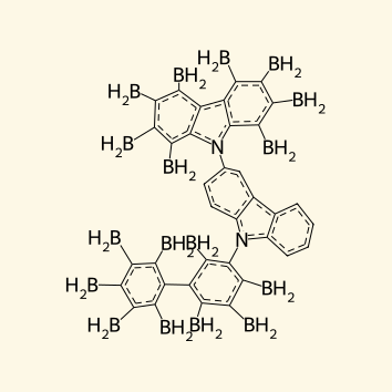 Bc1c(B)c(B)c(-c2c(B)c(B)c(B)c(-n3c4ccccc4c4cc(-n5c6c(B)c(B)c(B)c(B)c6c6c(B)c(B)c(B)c(B)c65)ccc43)c2B)c(B)c1B